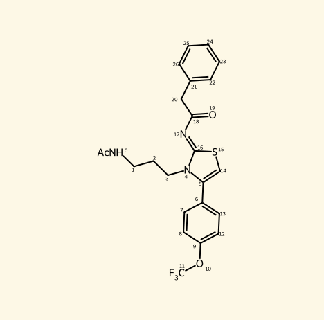 CC(=O)NCCCn1c(-c2ccc(OC(F)(F)F)cc2)cs/c1=N\C(=O)Cc1ccccc1